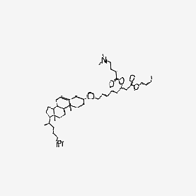 C/C=C\COC(=O)CC(CCCCCO[C@H]1CC[C@@]2(C)C(=CCC3C2CC[C@@]2(C)C3CC[C@@H]2[C@H](C)CCCC(C)C)C1)OC(=O)CCCN(C)C